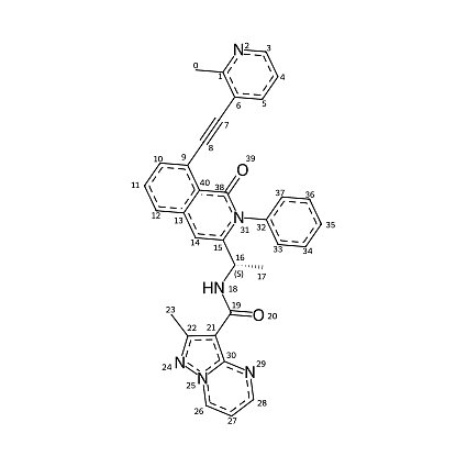 Cc1ncccc1C#Cc1cccc2cc([C@H](C)NC(=O)c3c(C)nn4cccnc34)n(-c3ccccc3)c(=O)c12